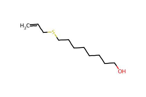 C=CCSCCCCCCCCO